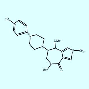 CCCN1CC(N2CCN(c3ccc(O)cc3)CC2)C(OC)c2cn(C)cc2C1=O